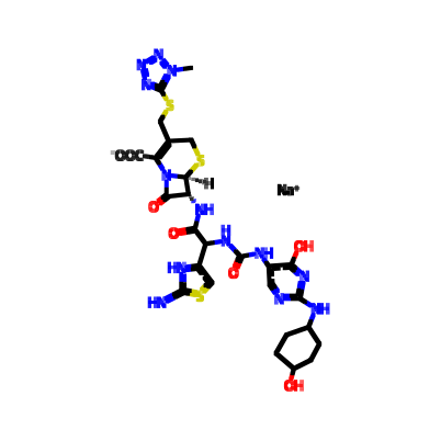 Cn1nnnc1SCC1=C(C(=O)[O-])N2C(=O)[C@@H](NC(=O)C(NC(=O)Nc3cnc(NC4CCC(O)CC4)nc3O)c3csc(=N)[nH]3)[C@@H]2SC1.[Na+]